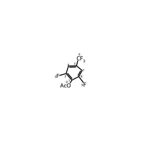 CC(=O)Oc1c(F)cc(C(F)(F)F)cc1F